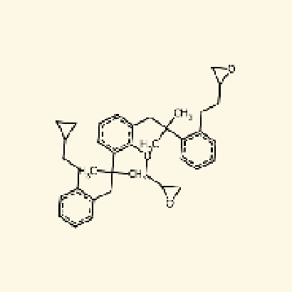 CC(C)(Cc1cccc(C(C)(C)Cc2ccccc2CCC2CC2)c1OCC1CO1)c1ccccc1CCC1CO1